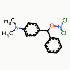 CN(C)c1ccc(C(ON(Cl)Cl)c2ccccc2)cc1